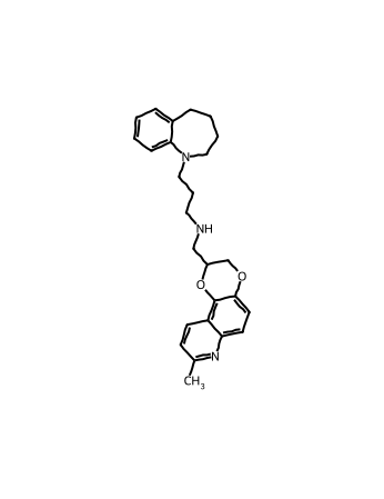 Cc1ccc2c3c(ccc2n1)OCC(CNCCCN1CCCCc2ccccc21)O3